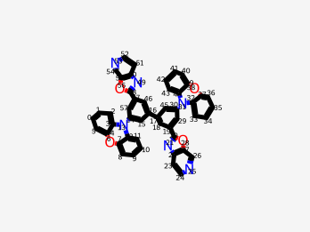 c1ccc2c(c1)Oc1ccccc1N2c1cc(-c2cc(-c3nc4ccncc4o3)cc(N3c4ccccc4Oc4ccccc43)c2)cc(-c2nc3ccncc3o2)c1